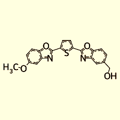 COc1ccc2oc(-c3ccc(-c4nc5cc(CO)ccc5o4)s3)nc2c1